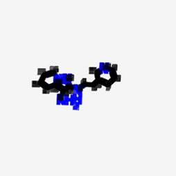 Nc1c(NCCc2cccnc2)nn2ccccc12